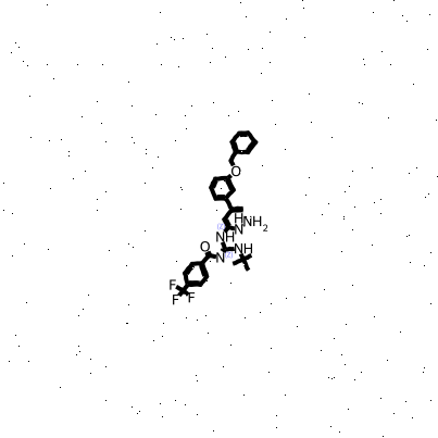 C=C(/C=C(\NN)N/C(=N\C(=O)c1ccc(C(F)(F)F)cc1)NC(C)(C)C)c1cccc(OCc2ccccc2)c1